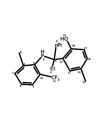 CCCC(CC)(Pc1c(C)cccc1C(F)(F)F)c1cc(C)ccc1O